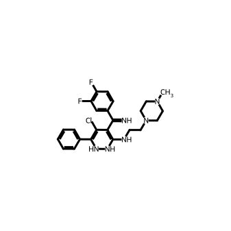 CN1CCN(CCNC2=C(C(=N)c3ccc(F)c(F)c3)C(Cl)=C(c3ccccc3)NN2)CC1